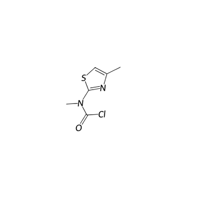 Cc1csc(N(C)C(=O)Cl)n1